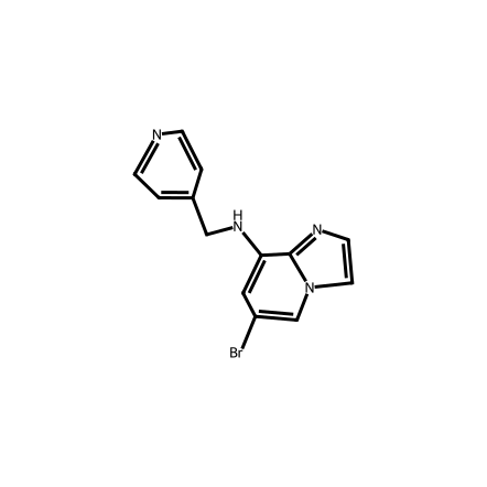 Brc1cc(NCc2ccncc2)c2nccn2c1